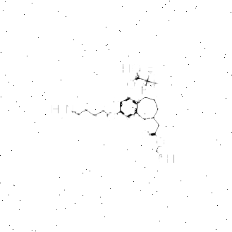 CCOC(=O)CC1CCCc2ccc(OCCCCN)cc2C1.O=C(O)C(F)(F)F